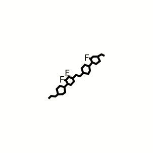 CCCC1CCC(C2CCC(CCC3CCC(C4CCC(CC)CC4F)CC3)[C@H](F)C2F)CC1